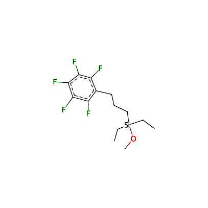 CC[Si](CC)(CCCc1c(F)c(F)c(F)c(F)c1F)OC